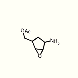 CC(=O)OCC1CC(N)C2OC12